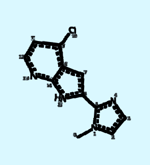 Cn1ccnc1-c1cc2c(Cl)ccnc2[nH]1